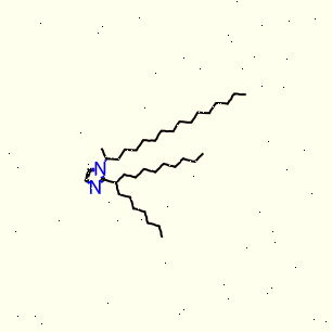 CCCCCCCCCCCCCCCC(C)n1ccnc1C(CCCCCCC)CCCCCCCCC